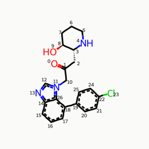 O=C(C[C@H]1NCCC[C@@H]1O)Cn1cnc2cccc(-c3ccc(Cl)cc3)c21